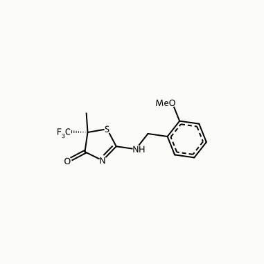 COc1ccccc1CNC1=NC(=O)[C@](C)(C(F)(F)F)S1